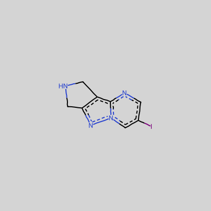 Ic1cnc2c3c(nn2c1)CNC3